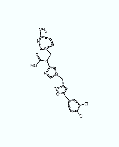 Nc1ccc(CC(C(=O)O)c2cn(Cc3cc(-c4ccc(Cl)c(Cl)c4)on3)cn2)cn1